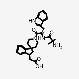 CC(C)(N)C(=O)N[C@H](Cc1c[nH]c2ccccc12)C(=O)N1CCC2(CC1)CC(CC(=O)O)c1ccccc12